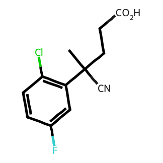 CC(C#N)(CCC(=O)O)c1cc(F)ccc1Cl